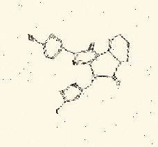 O=C1N2CCCN=C2c2[nH]c(-c3ccc(Br)cc3)nc2N1Cc1cccc(I)c1